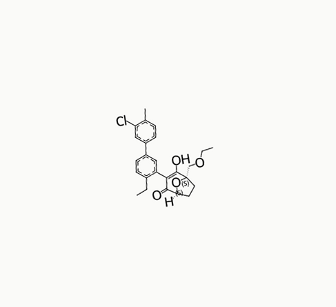 CCOC[C@]12CC[C@H](O1)C(=O)C(c1cc(-c3ccc(C)c(Cl)c3)ccc1CC)=C2O